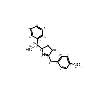 O=[N+]([O-])c1ccc(CC2=NC([C@H](O)c3ccccc3)CC2)cc1